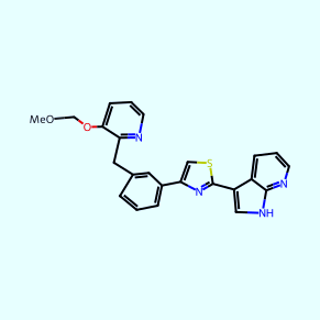 COCOc1cccnc1Cc1cccc(-c2csc(-c3c[nH]c4ncccc34)n2)c1